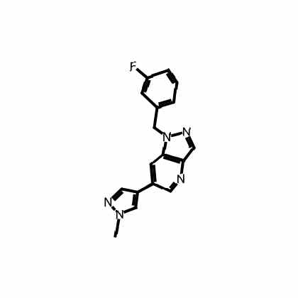 Cn1cc(-c2cnc3cnn(Cc4cccc(F)c4)c3c2)cn1